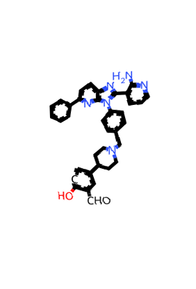 Nc1ncccc1-c1nc2ccc(-c3ccccc3)nc2n1-c1ccc(CN2CCC(c3ccc(O)c(C=O)c3)CC2)cc1